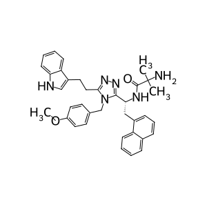 COc1ccc(Cn2c(CCc3c[nH]c4ccccc34)nnc2[C@@H](Cc2cccc3ccccc23)NC(=O)C(C)(C)N)cc1